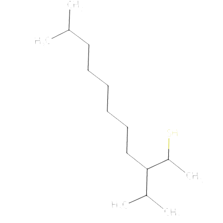 CC(C)CCCCCCC(C(C)C)C(C)S